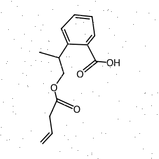 C=CCC(=O)OCC(C)c1ccccc1C(=O)O